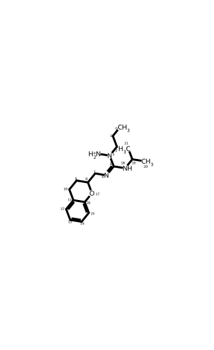 CCCN(N)C(=NCC1CCc2ccccc2O1)NC(C)C